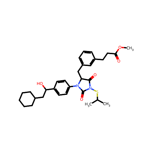 COC(=O)CCc1cccc(CC2C(=O)N(SC(C)C)C(=O)N2c2ccc(C(O)CC3CCCCC3)cc2)c1